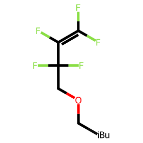 CCC(C)COCC(F)(F)C(F)=C(F)F